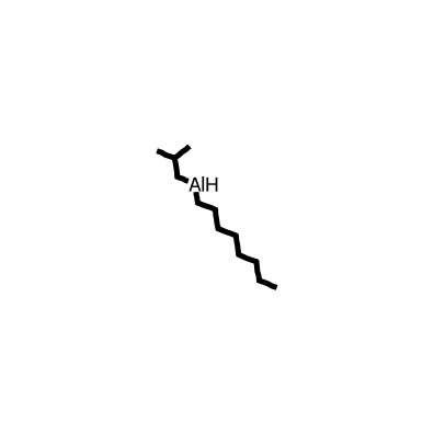 CCCCCCC[CH2][AlH][CH2]C(C)C